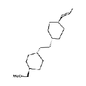 C/C=C/[C@H]1CC[C@H](CC[C@H]2CC[C@H](COC)CC2)CC1